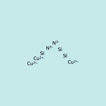 [Cu+2].[Cu+2].[Cu+2].[N-3].[N-3].[Si].[Si].[Si]